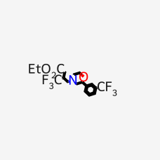 CCOC(=O)CC(CN1CCOC(c2cccc(C(F)(F)F)c2)C1)C(F)(F)F